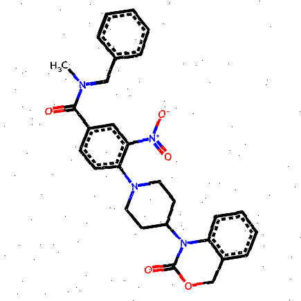 CN(Cc1ccccc1)C(=O)c1ccc(N2CCC(N3C(=O)OCc4ccccc43)CC2)c([N+](=O)[O-])c1